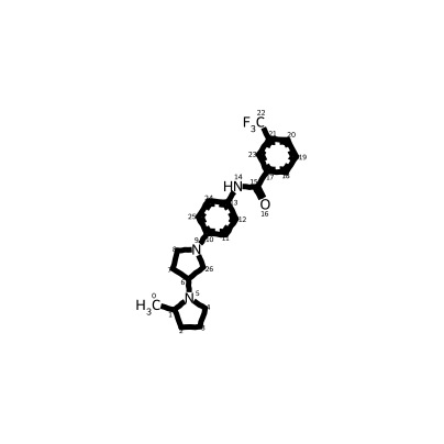 CC1CCCN1C1CCN(c2ccc(NC(=O)c3cccc(C(F)(F)F)c3)cc2)C1